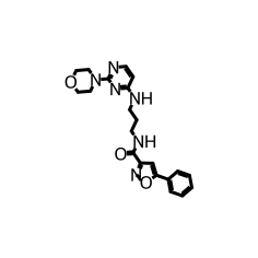 O=C(NCCCNc1ccnc(N2CCOCC2)n1)c1cc(-c2ccccc2)on1